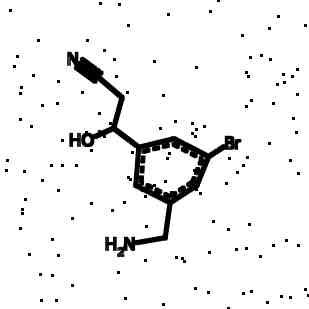 N#CCC(O)c1cc(Br)cc(CN)c1